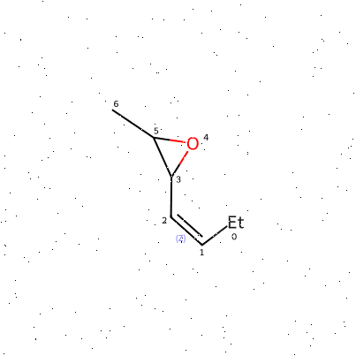 CC/C=C\C1OC1C